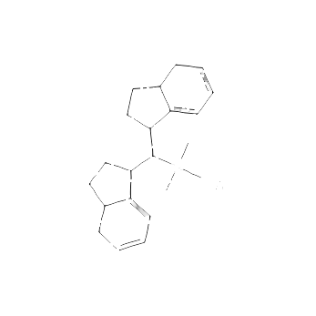 C[Si](C)(C)C(C1CCC2CC=CC=C21)C1CCC2CC=CC=C21.[Zr]